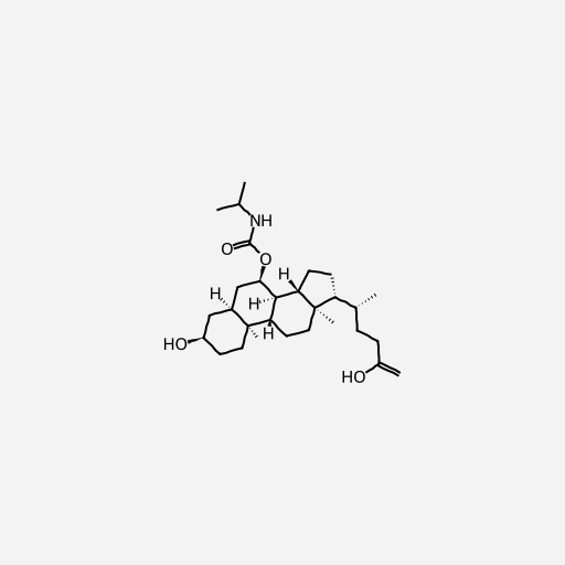 C=C(O)CC[C@@H](C)[C@H]1CC[C@H]2[C@@H]3[C@H](OC(=O)NC(C)C)C[C@@H]4C[C@H](O)CC[C@]4(C)[C@H]3CC[C@]12C